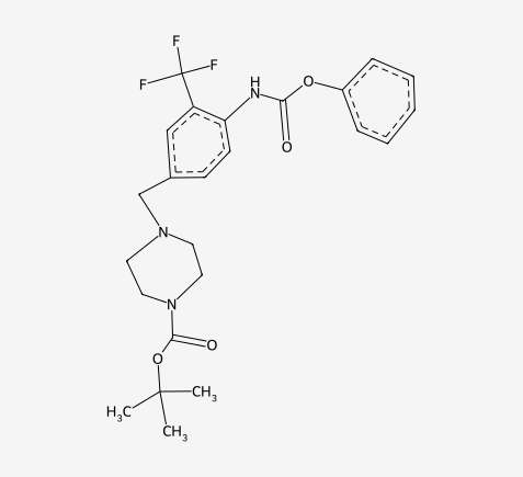 CC(C)(C)OC(=O)N1CCN(Cc2ccc(NC(=O)Oc3ccccc3)c(C(F)(F)F)c2)CC1